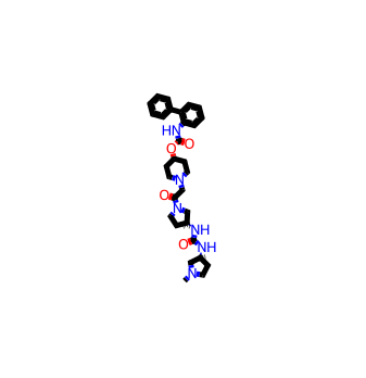 CN1CC[C@@H](NC(=O)N[C@@H]2CCN(C(=O)CN3CCC(OC(=O)Nc4ccccc4-c4ccccc4)CC3)C2)C1